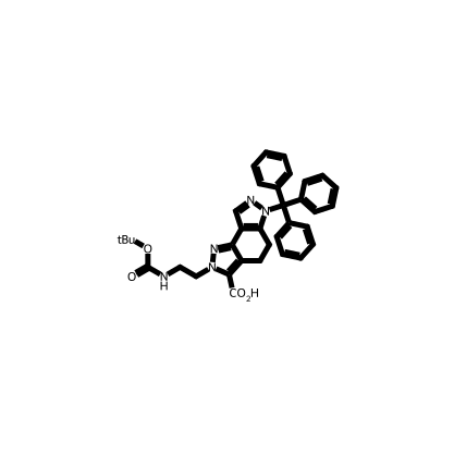 CC(C)(C)OC(=O)NCCn1nc2c(c1C(=O)O)CCc1c-2cnn1C(c1ccccc1)(c1ccccc1)c1ccccc1